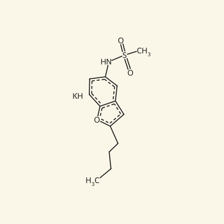 CCCCc1cc2cc(NS(C)(=O)=O)ccc2o1.[KH]